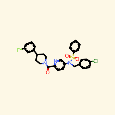 O=C(c1ccc(N(Cc2ccc(Cl)cc2)S(=O)(=O)c2ccccc2)cn1)N1CCC(c2cccc(F)c2)CC1